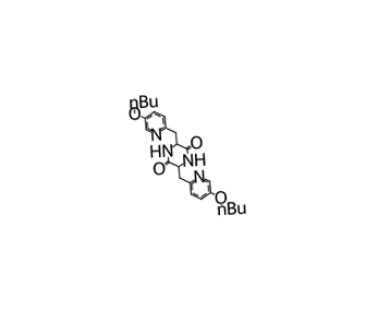 CCCCOc1ccc(CC2NC(=O)C(Cc3ccc(OCCCC)cn3)NC2=O)nc1